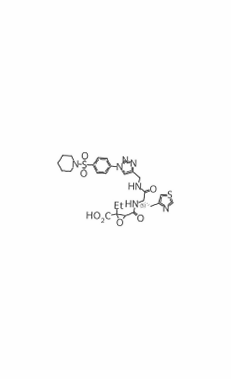 CCC1(C(=O)O)OC1C(=O)N[C@@H](Cc1cscn1)C(=O)NCc1cn(-c2ccc(S(=O)(=O)N3CCCCC3)cc2)nn1